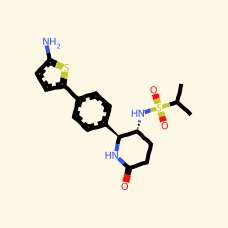 CC(C)S(=O)(=O)N[C@@H]1CCC(=O)N[C@H]1c1ccc(-c2ccc(N)s2)cc1